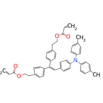 C=CC(=O)OCCc1ccc(C(=Cc2ccc(N(c3ccc(C)cc3)c3ccc(C)cc3)cc2)c2ccc(CCOC(=O)C=C)cc2)cc1